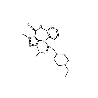 CCN1CCN(CC(=O)N2c3ccccc3NC(=O)c3c2c(C(C)C)nn3C)CC1